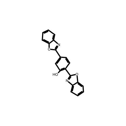 Oc1cc(-c2nc3ccccc3o2)ccc1-c1nc2ccccc2o1